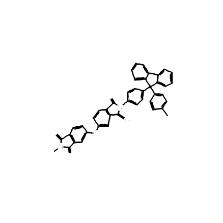 Cc1ccc(C2(c3ccc(N4C(=O)c5ccc(Oc6ccc7c(c6)C(=O)N(C)C7=O)cc5C4=O)cc3)c3ccccc3-c3ccccc32)cc1